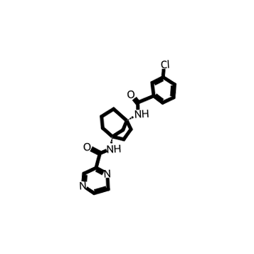 O=C(N[C@]12CCC[C@](NC(=O)c3cnccn3)(CC1)C2)c1cccc(Cl)c1